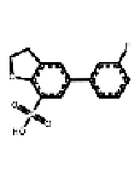 O=S(=O)(O)c1cc(-c2cccc(F)c2)cc2c1OCC2